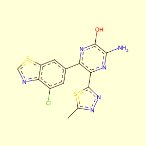 Cc1nnc(-c2nc(N)c(O)nc2-c2cc(Cl)c3ncsc3c2)s1